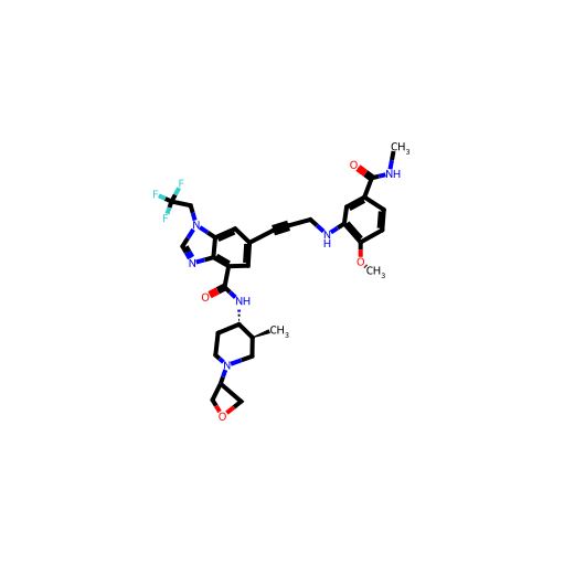 CNC(=O)c1ccc(OC)c(NCC#Cc2cc(C(=O)N[C@H]3CCN(C4COC4)C[C@@H]3C)c3ncn(CC(F)(F)F)c3c2)c1